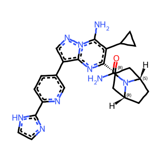 NC(=O)N1[C@@H]2CC[C@H]1C[C@@H](c1nc3c(-c4ccc(-c5ncc[nH]5)nc4)cnn3c(N)c1C1CC1)C2